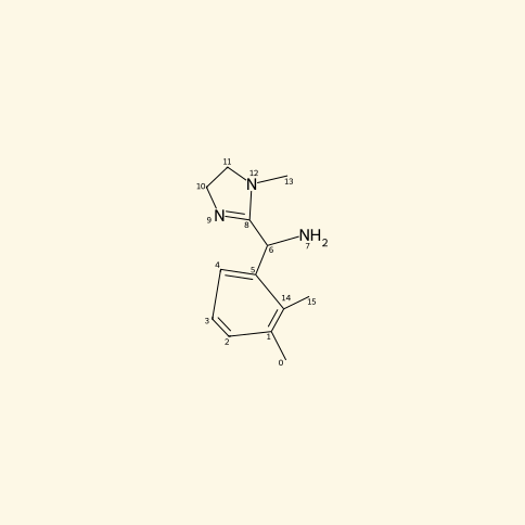 Cc1cccc(C(N)C2=NCCN2C)c1C